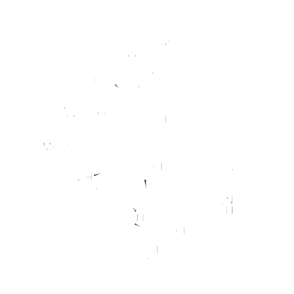 CO[C@H]1C[C@H]2C=C[C@@H]3C[C@]2(O[C@H]3[C@H](OC(=O)c2ccc[nH]2)[C@H](C)[C@H](C)O)/C(C)=C/[C@@H](C)[C@@H]([C@@H](C)OC(=O)CCl)OC1=O